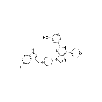 Oc1cncc(-c2nc(C3=CCOCC3)c3ncn(C4CCN(Cc5c[nH]c6ccc(F)cc56)CC4)c3n2)c1